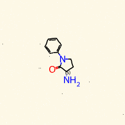 N[C@H]1CCN(c2ccccc2)C1=O